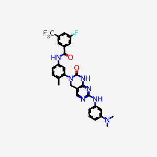 Cc1ccc(NC(=O)c2cc(F)cc(C(F)(F)F)c2)cc1N1Cc2cnc(Nc3cccc(N(C)C)c3)nc2NC1=O